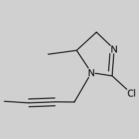 CC#CCN1C(Cl)=NCC1C